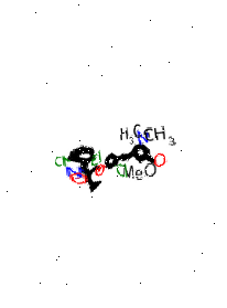 COC(=O)c1cc(C#Cc2ccc(OCc3c(-c4c(Cl)cccc4Cl)noc3C3CC3)cc2Cl)cc(N(C)C)c1